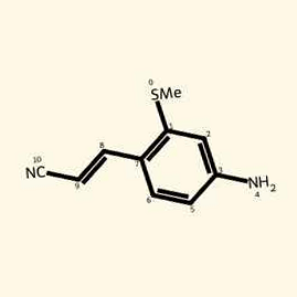 CSc1cc(N)ccc1C=CC#N